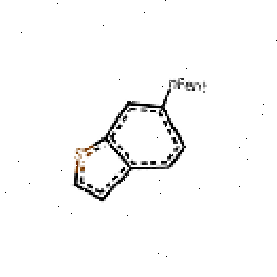 CCCCCc1ccc2c[c]sc2c1